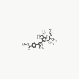 CNC(=O)c1ccc(-c2cc(-c3cn([C@@H](C)C(C)CN=[N+]=[N-])c(=O)c4c3NNC4N)nn2C)cc1